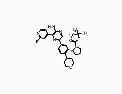 CC(C)(C)OC(=O)N1CCC[C@H]1c1cc(-c2cnc(N)c(-c3ccnc(F)c3)n2)ccc1C1CCOCC1